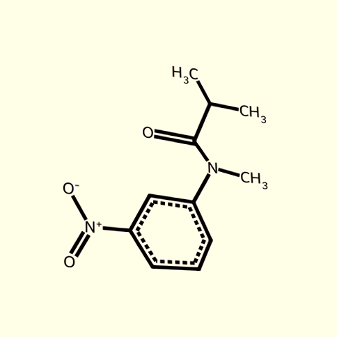 CC(C)C(=O)N(C)c1cccc([N+](=O)[O-])c1